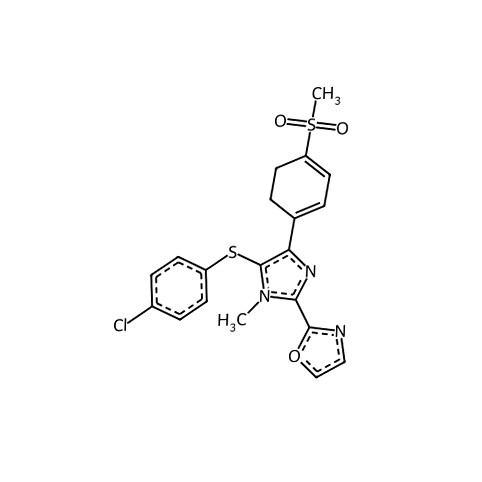 Cn1c(-c2ncco2)nc(C2=CC=C(S(C)(=O)=O)CC2)c1Sc1ccc(Cl)cc1